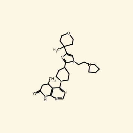 C[C@@H]1CC(=O)Nc2ncnc(N3CCC(c4nc(C5(C)CCOCC5)cn4CCN4CCCC4)CC3)c21